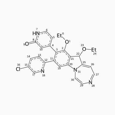 CCOc1c(-c2cc[nH]c(=O)c2)c(-c2ccc(Cl)cn2)cc2c1C(OCC)C1=CC=NC=CN12